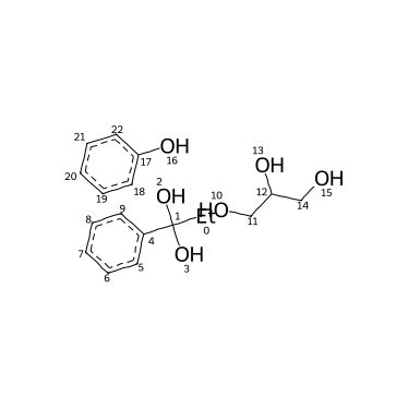 CCC(O)(O)c1ccccc1.OCC(O)CO.Oc1ccccc1